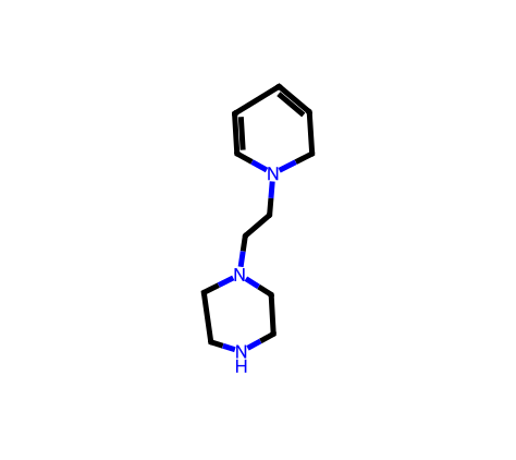 C1=CCN(CCN2CCNCC2)C=C1